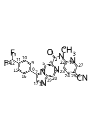 CN(C(=O)c1cn2c(-c3ccc(C(F)F)cc3)cnc2cn1)c1ccc(C#N)cn1